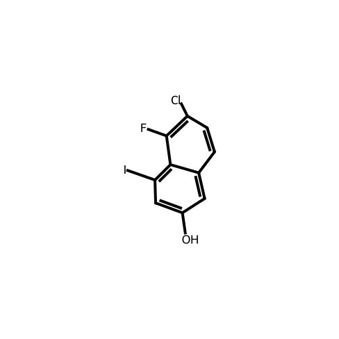 Oc1cc(I)c2c(F)c(Cl)ccc2c1